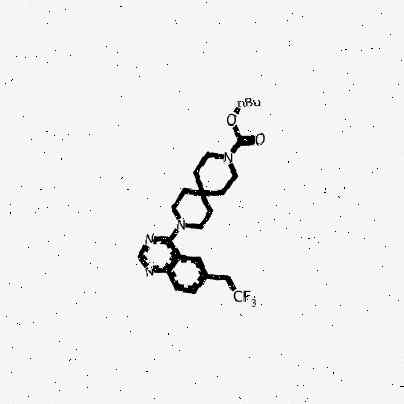 CCCCOC(=O)N1CCC2(CC1)CCN(c1ncnc3ccc(CC(F)(F)F)cc13)CC2